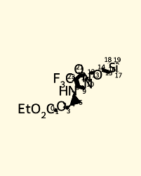 CCOC(=O)COC[C@@H]1C[C@H]1Nc1cnn(COCC[Si](C)(C)C)c(=O)c1C(F)(F)F